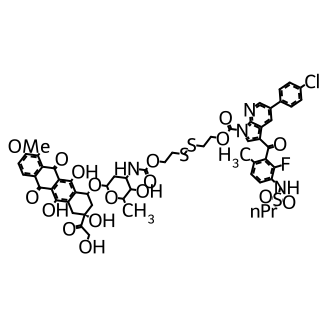 CCCS(=O)(=O)Nc1ccc(C)c(C(=O)c2cn(C(=O)OCCSSCCOC(=O)NC3CC(O[C@H]4C[C@](O)(C(=O)CO)Cc5c(O)c6c(c(O)c54)C(=O)c4c(OC)cccc4C6=O)OC(C)C3O)c3ncc(-c4ccc(Cl)cc4)cc23)c1F